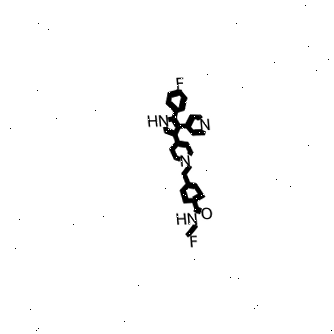 O=C(NCCF)c1ccc(CCN2CC=C(c3c[nH]c(-c4ccc(F)cc4)c3-c3ccncc3)CC2)cc1